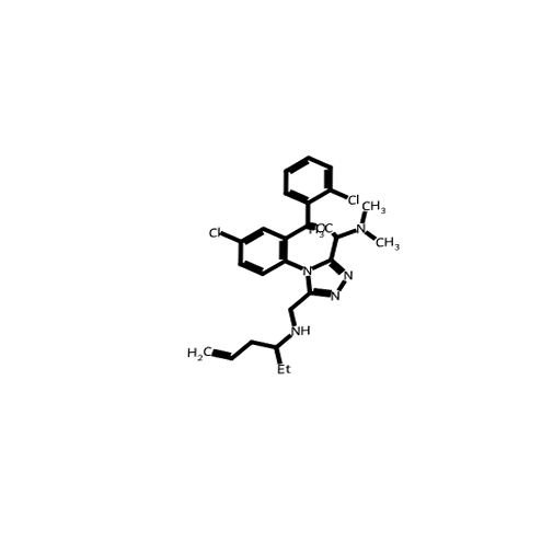 C=CCC(CC)NCc1nnc(C(C)N(C)C)n1-c1ccc(Cl)cc1C(=O)c1ccccc1Cl